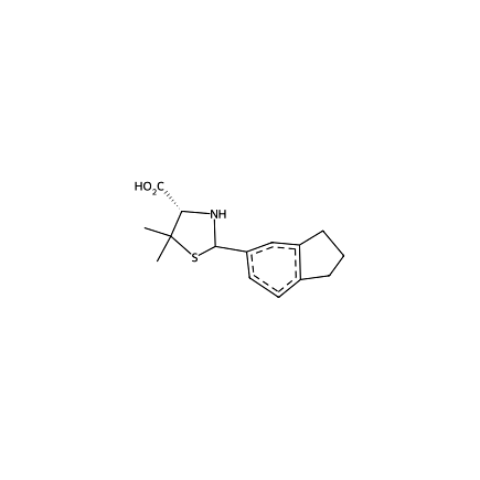 CC1(C)SC(c2ccc3c(c2)CCC3)N[C@H]1C(=O)O